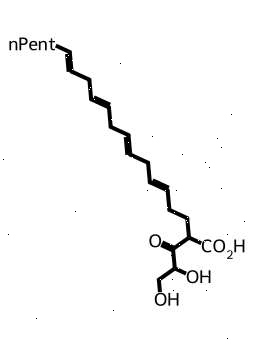 CCCCCC=CCC=CCC=CCC=CCCC(C(=O)O)C(=O)C(O)CO